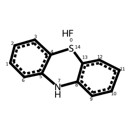 F.c1ccc2c(c1)Nc1ccccc1S2